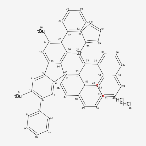 CC(C)(C)c1cc2c(cc1-c1ccccc1)Cc1c-2cc(C(C)(C)C)c(-c2ccccc2)[c]1[Zr]([C]1=CC=CC1)=[C](c1cccc2ccccc12)c1cccc2ccccc12.Cl.Cl